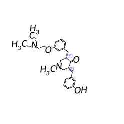 CCN(CC)CCOc1cccc(/C=C2\CN(C)C/C(=C\c3cccc(O)c3)C2=O)c1